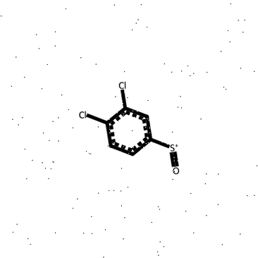 O=[S+]c1c[c]c(Cl)c(Cl)c1